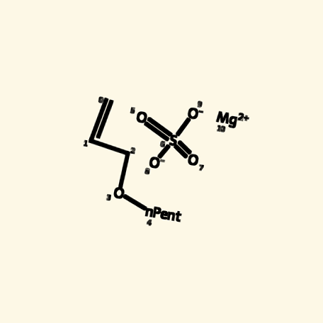 C=CCOCCCCC.O=S(=O)([O-])[O-].[Mg+2]